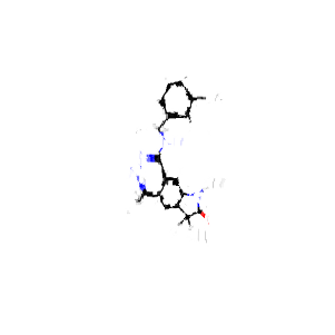 Cc1c(C#N)cccc1[C@@H](C)Nc1nnc(C)c2cc3c(cc12)N(C)C(=O)C3(C)C